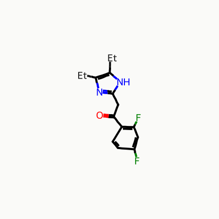 CCc1nc(CC(=O)c2ccc(F)cc2F)[nH]c1CC